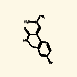 CN(C)C=C1C(=O)NCc2cc(Br)ccc21